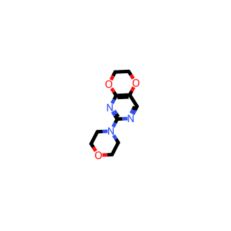 c1nc(N2CCOCC2)nc2c1OCCO2